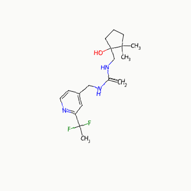 C=C(NCc1ccnc(C(C)(F)F)c1)NCC1(O)CCCC1(C)C